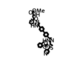 COC(=O)NCC(=O)N1CCC[C@H]1c1ncc(-c2ccc(-c3ccc(-c4cnc(C5CSC(c6ccncc6)N5C(=O)OCc5ccccc5)[nH]4)cc3)cc2)[nH]1